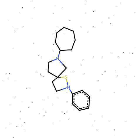 c1ccc(N2CCC3(CCN(C4CCCCCC4)C3)S2)cc1